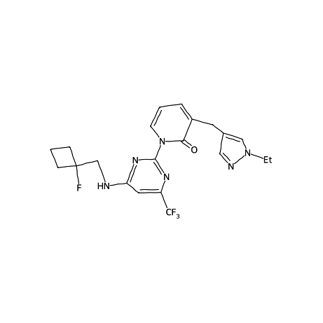 CCn1cc(Cc2cccn(-c3nc(NCC4(F)CCC4)cc(C(F)(F)F)n3)c2=O)cn1